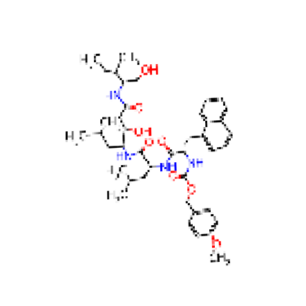 CCC(C)[C@@H](CO)NC(=O)CC(O)C(CC(C)C)NC(=O)[C@H](CC(C)C)NC(=O)[C@H](Cc1cccc2ccccc12)NC(=O)OCc1ccc(OC)cc1